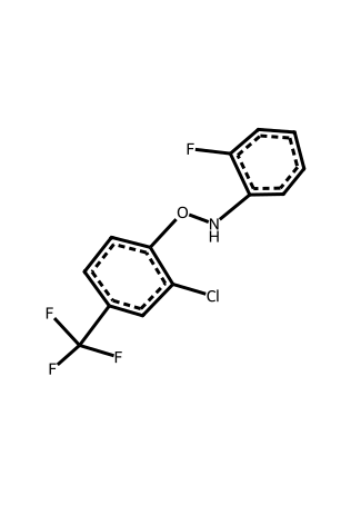 Fc1ccccc1NOc1ccc(C(F)(F)F)cc1Cl